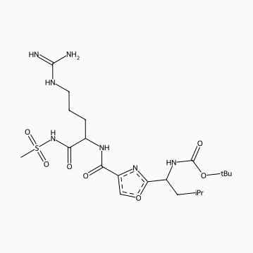 CC(C)CC(NC(=O)OC(C)(C)C)c1nc(C(=O)NC(CCCNC(=N)N)C(=O)NS(C)(=O)=O)co1